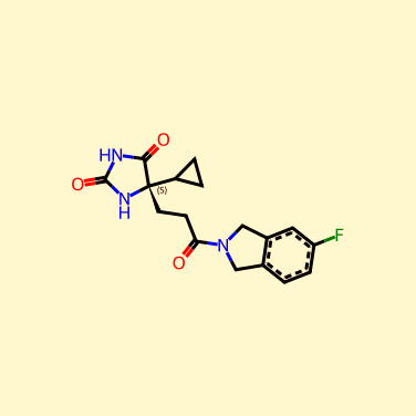 O=C1NC(=O)[C@](CCC(=O)N2Cc3ccc(F)cc3C2)(C2CC2)N1